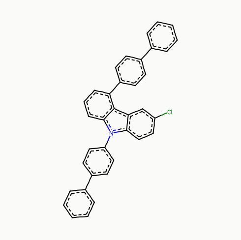 Clc1ccc2c(c1)c1c(-c3ccc(-c4ccccc4)cc3)cccc1n2-c1ccc(-c2ccccc2)cc1